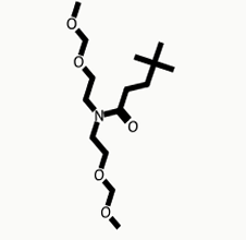 COCOCCN(CCOCOC)C(=O)CCC(C)(C)C